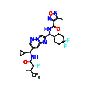 Cc1nonc1C(=O)N[C@H](c1cn2ncc([C@H](NC(=O)[C@H](F)[C@H](C)C(F)(F)F)C3CC3)cc2n1)C1CCC(F)(F)CC1